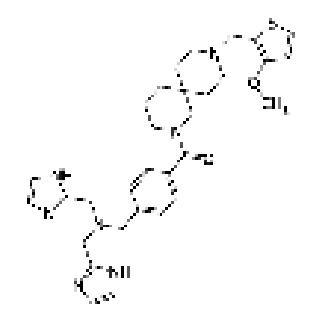 COc1ccsc1CN1CCC2(CCCN(C(=O)c3ccc(CN(Cc4ncc[nH]4)Cc4ncc[nH]4)cc3)C2)CC1